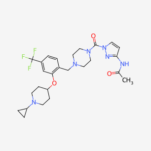 CC(=O)Nc1ccn(C(=O)N2CCN(Cc3ccc(C(F)(F)F)cc3OC3CCN(C4CC4)CC3)CC2)n1